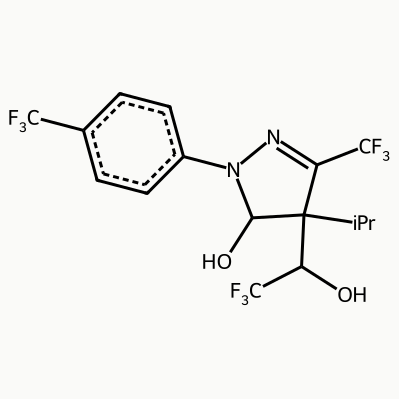 CC(C)C1(C(O)C(F)(F)F)C(C(F)(F)F)=NN(c2ccc(C(F)(F)F)cc2)C1O